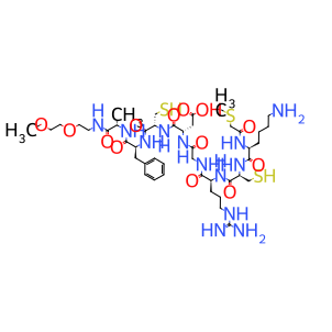 COCCOCCNC(=O)[C@H](C)NC(=O)[C@H](Cc1ccccc1)NC(=O)[C@H](CS)NC(=O)[C@H](CC(=O)O)NC(=O)CNC(=O)[C@H](CCCNC(=N)N)NC(=O)[C@H](CS)NC(=O)[C@H](CCCCN)NC(=O)CSC